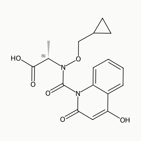 C[C@@H](C(=O)O)N(OCC1CC1)C(=O)n1c(=O)cc(O)c2ccccc21